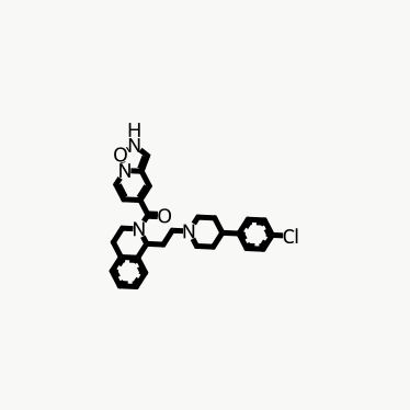 O=C(C1=CC2=CNON2C=C1)N1CCc2ccccc2C1CCN1CCC(c2ccc(Cl)cc2)CC1